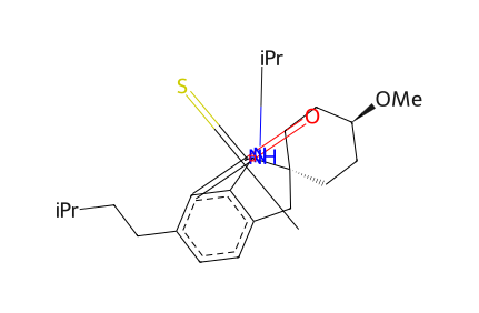 CO[C@H]1CC[C@]2(CC1)Cc1ccc(CCC(C)C)cc1C21NC(=S)N(C(C)C)C1=O